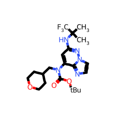 CC(C)(C)OC(=O)N(CC1CCOCC1)c1cc(NC(C)(C)C(F)(F)F)nn2ccnc12